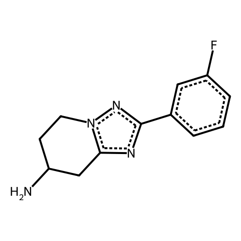 NC1CCn2nc(-c3cccc(F)c3)nc2C1